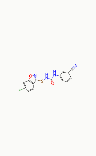 N#Cc1cccc(NC(=O)NSc2noc3cc(F)ccc23)c1